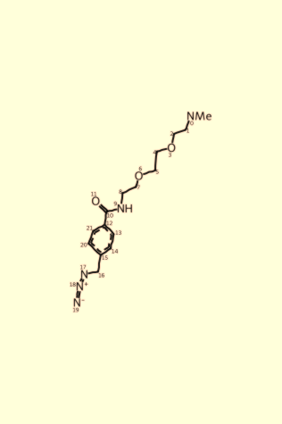 CNCCOCCOCCNC(=O)c1ccc(CN=[N+]=[N-])cc1